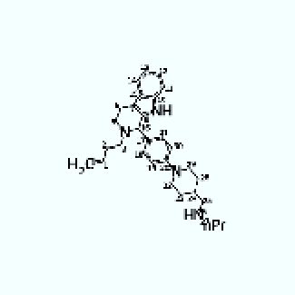 C=CCCN1CCc2c([nH]c3ccccc23)[C@H]1c1ccc(N2CCC(CNCCC)CC2)cc1